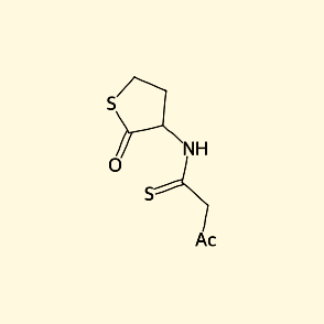 CC(=O)CC(=S)NC1CCSC1=O